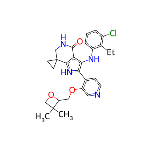 CCc1c(Cl)cccc1Nc1c(-c2ccncc2OCC2OCC2(C)C)[nH]c2c1C(=O)NCC21CC1